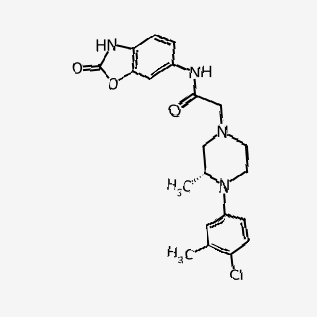 Cc1cc(N2CCN(CC(=O)Nc3ccc4[nH]c(=O)oc4c3)C[C@H]2C)ccc1Cl